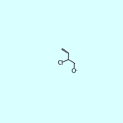 C=CC(Cl)C[O]